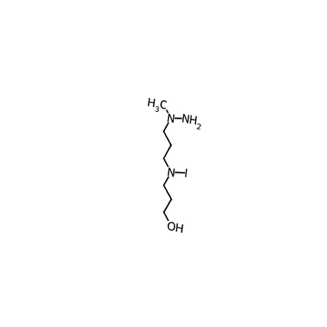 CN(N)CCCN(I)CCCO